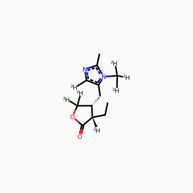 [2H]c1nc(C)n(C([2H])([2H])[2H])c1C[C@H]1C([2H])([2H])OC(=O)[C@@]1([2H])CC